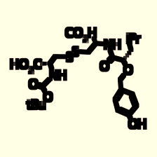 CC(C)C[C@H](OCc1ccc(O)cc1)C(=O)N[C@@H](CSSC[C@H](NC(=O)OC(C)(C)C)C(=O)O)C(=O)O